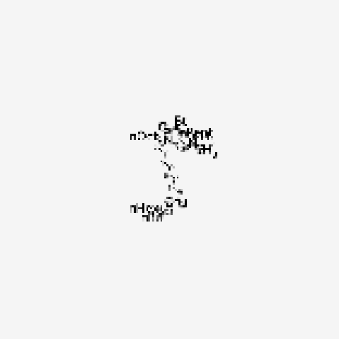 CCCCCCCCC(CCCCCCCCC(=O)OCC(CCCC)CCCCCC)N(CCCN(C)C)C(=O)C(CC)CCCCC